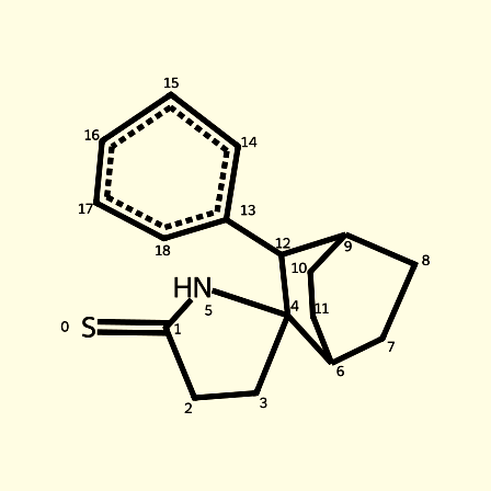 S=C1CCC2(N1)C1CCC(CC1)C2c1ccccc1